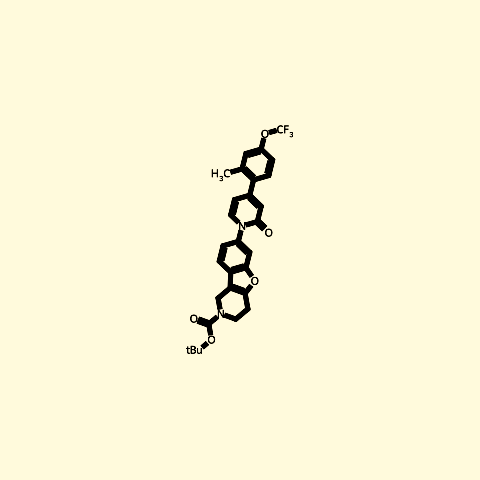 Cc1cc(OC(F)(F)F)ccc1-c1ccn(-c2ccc3c4c(oc3c2)CCN(C(=O)OC(C)(C)C)C4)c(=O)c1